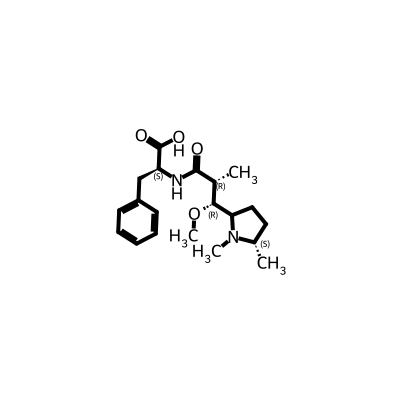 CO[C@@H](C1CC[C@H](C)N1C)[C@@H](C)C(=O)N[C@@H](Cc1ccccc1)C(=O)O